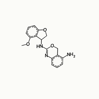 COc1cccc2c1C(NC1=Nc3cccc(N)c3CO1)CO2